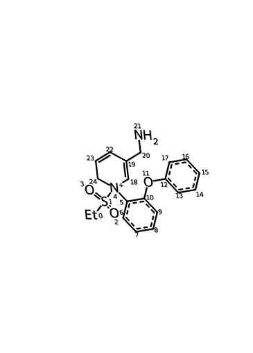 CCS(=O)(=O)[N+]1(c2ccccc2Oc2ccccc2)C=C(CN)C=CC1